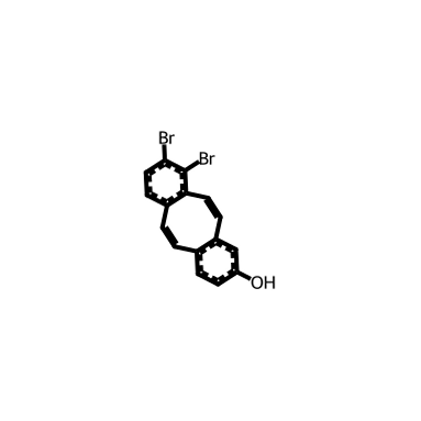 Oc1ccc2c(c1)/C=C\c1c(ccc(Br)c1Br)/C=C\2